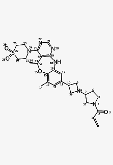 C=CC(=O)N1CCC(N2CC(c3cc(C)c4c(c3)Nc3ncnc(N5CCS(=O)(=O)CC5)c3[C@H](C)O4)C2)C1